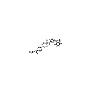 COC(=O)c1ccc(N2CCC(NC(=O)n3ccc(Nc4ccccc4F)n3)CC2)nc1